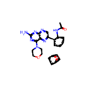 CC(=O)Nc1ccccc1-c1cnc2nc(N)nc(N3CCOCC3)c2n1.c1cc2ccc1o2